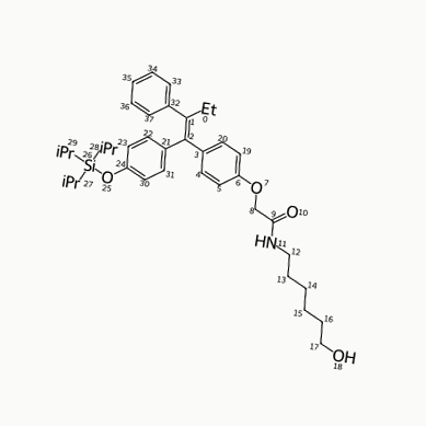 CC/C(=C(\c1ccc(OCC(=O)NCCCCCCO)cc1)c1ccc(O[Si](C(C)C)(C(C)C)C(C)C)cc1)c1ccccc1